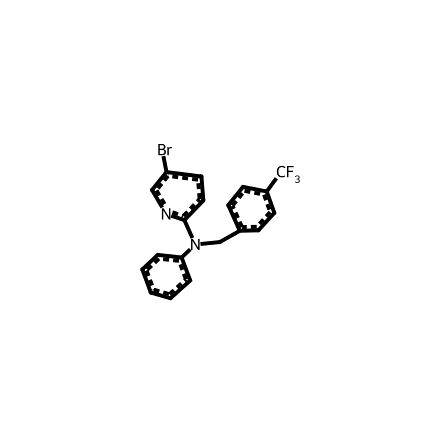 FC(F)(F)c1ccc(CN(c2ccccc2)c2ccc(Br)cn2)cc1